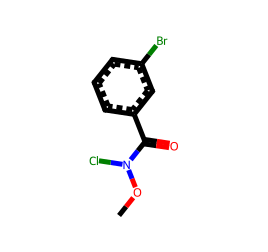 CON(Cl)C(=O)c1cccc(Br)c1